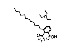 CCCCCCCCCCCCc1cccc(C(=O)O)c1C(N)=O.CCN(CC)CC